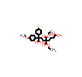 CCOC(=O)C(CCCC(=O)O)(CCC(C(=O)O)(c1ccc(F)cc1)c1ccc(OC)cc1)C(=O)OCC